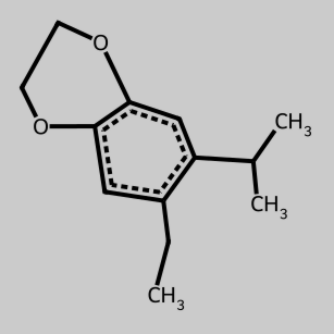 CCc1cc2c(cc1C(C)C)OCCO2